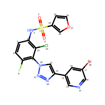 O=S(=O)(Nc1ccc(F)c(-n2cc(-c3cncc(Br)c3)nn2)c1Cl)c1ccoc1